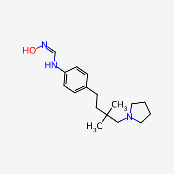 CC(C)(CCc1ccc(N/C=N\O)cc1)CN1CCCC1